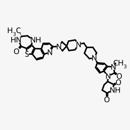 C[C@@H]1CNc2c(sc3ccc4nc(N5CC6(CCN(CC7CCN(c8ccc9c(c8)n(C)c(=O)n9C8CCC(=O)NC8=O)CC7)CC6)C5)ccc4c23)C(=O)N1